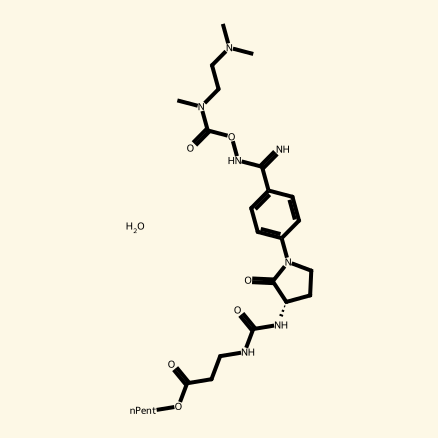 CCCCCOC(=O)CCNC(=O)N[C@H]1CCN(c2ccc(C(=N)NOC(=O)N(C)CCN(C)C)cc2)C1=O.O